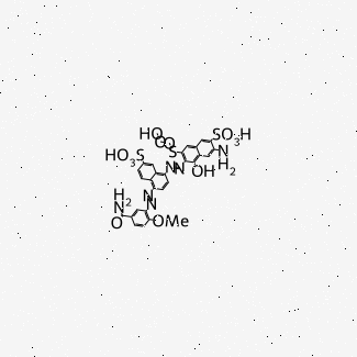 COc1ccc(C(N)=O)cc1N=Nc1ccc(N=Nc2c(SOOO)cc3cc(S(=O)(=O)O)c(N)cc3c2O)c2cc(S(=O)(=O)O)ccc12